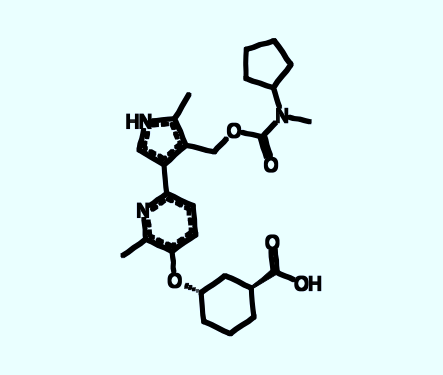 Cc1nc(-c2c[nH]c(C)c2COC(=O)N(C)C2CCCC2)ccc1O[C@H]1CCC[C@H](C(=O)O)C1